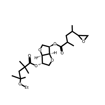 CCOC(C)(C)CC(C)(C)C(=O)O[C@H]1CO[C@H]2[C@@H]1OC[C@H]2OC(=O)C(C)CC(C)C1CO1